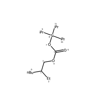 CCCCC(CC)COC(=O)O[Si](C(C)C)(C(C)C)C(C)C